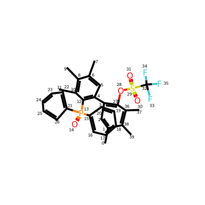 Cc1cc(-c2cc(C)c(C)c(C)c2P(=O)(c2ccccc2)c2ccccc2)c(OS(=O)(=O)C(F)(F)F)c(C)c1C